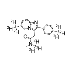 [2H]C([2H])([2H])c1ccc(-c2nc3ccc(C([2H])([2H])[2H])cn3c2CC(=O)N(C)C([2H])([2H])[2H])cc1